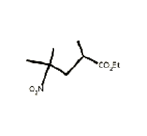 CCOC(=O)C(C)CC(C)(C)[N+](=O)[O-]